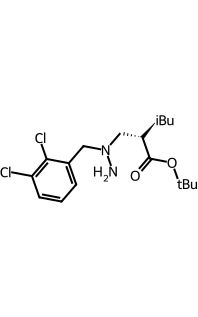 CC[C@H](C)[C@@H](CN(N)Cc1cccc(Cl)c1Cl)C(=O)OC(C)(C)C